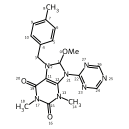 COC1N(Cc2ccc(C)cc2)c2c(n(C)c(=O)n(C)c2=O)N1c1ncncn1